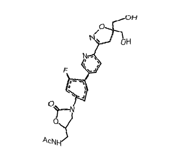 CC(=O)NCC1CN(c2ccc(-c3ccc(C4=NOC(CO)(CO)C4)nc3)c(F)c2)C(=O)O1